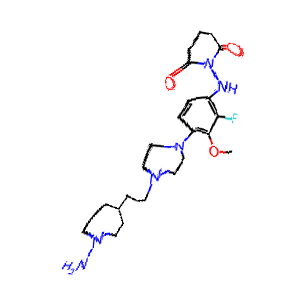 COc1c(N2CCN(CCC3CCN(N)CC3)CC2)ccc(NN2C(=O)CCCC2=O)c1F